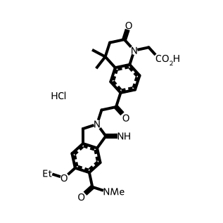 CCOc1cc2c(cc1C(=O)NC)C(=N)N(CC(=O)c1ccc3c(c1)C(C)(C)CC(=O)N3CC(=O)O)C2.Cl